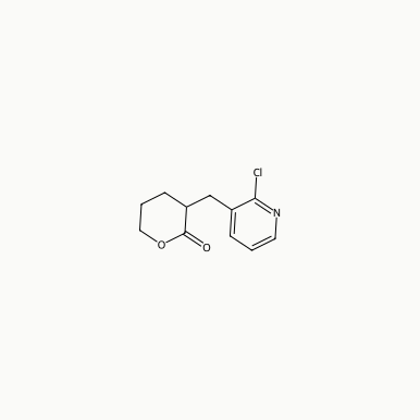 O=C1OCCCC1Cc1cccnc1Cl